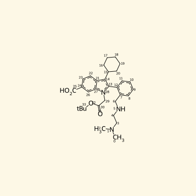 CN(C)CCNCc1ccccc1-c1c(C2CCCCC2)c2ccc(C(=O)O)cc2n1CC(=O)OC(C)(C)C